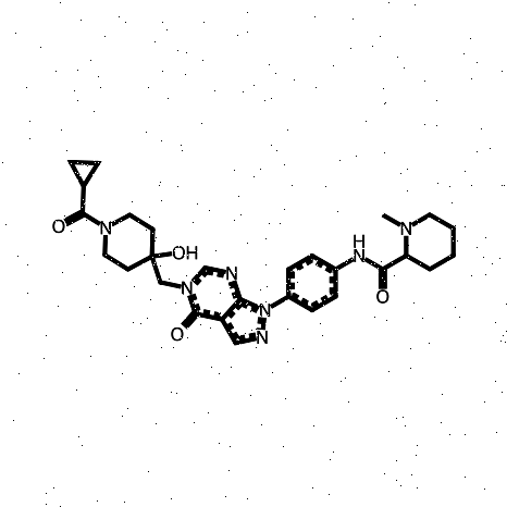 CN1CCCCC1C(=O)Nc1ccc(-n2ncc3c(=O)n(CC4(O)CCN(C(=O)C5CC5)CC4)cnc32)cc1